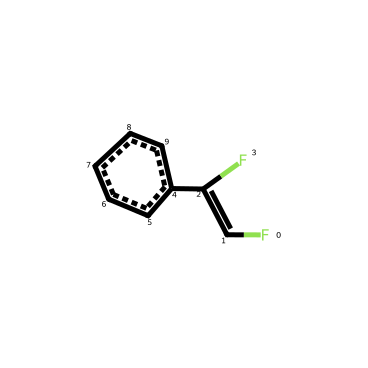 FC=C(F)c1ccccc1